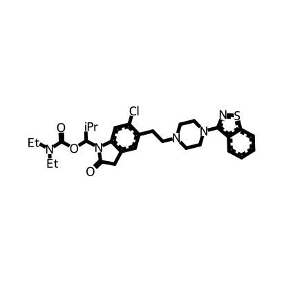 CCN(CC)C(=O)OC(C(C)C)N1C(=O)Cc2cc(CCN3CCN(c4nsc5ccccc45)CC3)c(Cl)cc21